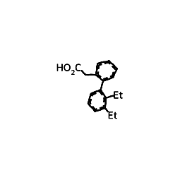 CCc1cccc(-c2ccccc2CC(=O)O)c1CC